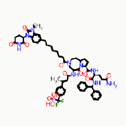 C/C(=C\C(=O)N[C@H]1CN(C(=O)CCCCCCCc2ccc3c(c2)n(C)c(=O)n3C2CCC(=O)NC2=O)CCC2CC[C@@H](C(=O)N[C@@H](CCC(N)=O)C(=O)NC(c3ccccc3)c3ccccc3)N2C1=O)c1ccc(C(F)(F)P(=O)(O)O)cc1